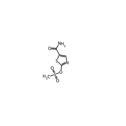 CS(=O)(=O)Oc1ncc(C(N)=O)s1